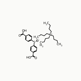 CCCC[N+](CCCC)(CCCC)CCCC.O=C(O)c1ccc([S+]([O-])c2ccc(C(=O)O)cc2)cc1